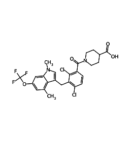 Cc1cc(OC(F)(F)F)cc2c1c(Cc1c(Cl)ccc(C(=O)N3CCC(C(=O)O)CC3)c1Cl)cn2C